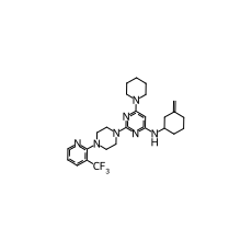 C=C1CCCC(Nc2cc(N3CCCCC3)nc(N3CCN(c4ncccc4C(F)(F)F)CC3)n2)C1